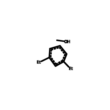 CCc1cccc(CC)c1.CO